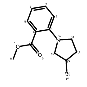 COC(=O)c1ccccc1N1CCC(Br)C1